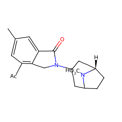 CC(=O)c1cc(C)cc2c1CN(C1CC3CC[C@@H](C1)N3C(=O)O)C2=O